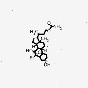 CC[C@@H]1C2C[C@H](O)CCC2(C)[C@H]2CCC3(C)[C@@H]([C@H](C)CCOC(N)=O)CC[C@H]3C2[C@@H]1O